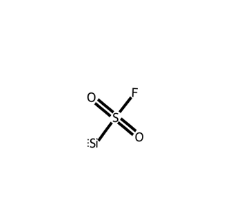 O=S(=O)(F)[Si]